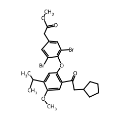 COC(=O)Cc1cc(Br)c(Oc2cc(C(C)C)c(OC)cc2C(=O)CC2CCCC2)c(Br)c1